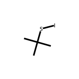 CC(C)(C)SI